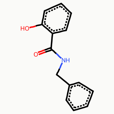 O=C(NCc1ccccc1)c1ccccc1O